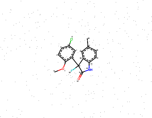 COc1ccc(Cl)cc1C1(F)C(=O)Nc2ccc(C)cc21